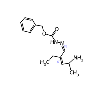 CCC(/C=N\NC(=O)OCc1ccccc1)=C/C(C)N